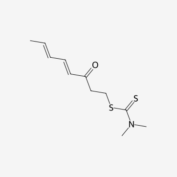 CC=CC=CC(=O)CCSC(=S)N(C)C